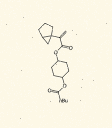 C=C(C(=O)OC1CCC(OC(=O)CCCC)CC1)C12CCCC1C2